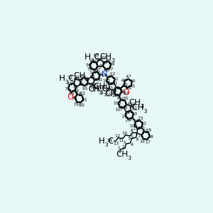 CCCCCCCC1(CCCCCCC)c2ccccc2-c2ccc(-c3ccc4c(c3)C(C)(C)c3cc(-c5cc6c(c7c5oc5ccccc57)-c5ccc(N(c7ccc8c(c7)C(C)(C)c7cc9c(cc7-8)C(C)(C)c7ccc8oc%10ccccc%10c8c7-9)c7cccc8c7-c7ccccc7C8(C)C)cc5C6(C)C)ccc3-4)cc21